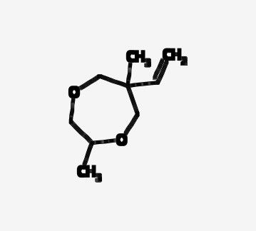 C=CC1(C)COCC(C)OC1